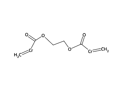 [CH2]=[Cr][C](=O)OCCO[C](=O)[Cr]=[CH2]